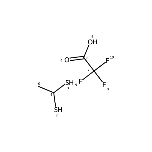 CC(S)S.O=C(O)C(F)(F)F